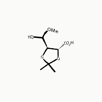 COC(O)[C@@H]1OC(C)(C)O[C@H]1C(=O)O